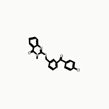 Cn1c(SCc2cccc(C(=O)c3ccc(Cl)cc3)c2)nc2ccccc2c1=O